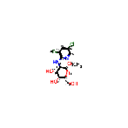 CO[C@@H]1O[C@H](CO)[C@H](O)[C@H](O)C1Nc1ncc(Cl)cc1F